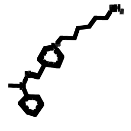 BCCCCCC[n+]1ccc(/C=N/N(C)c2ccccc2)cc1